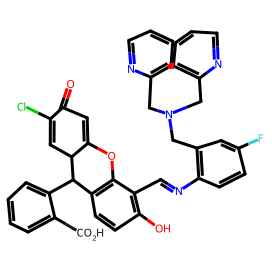 O=C1C=C2Oc3c(ccc(O)c3C=Nc3ccc(F)cc3CN(Cc3ccccn3)Cc3ccccn3)C(c3ccccc3C(=O)O)C2C=C1Cl